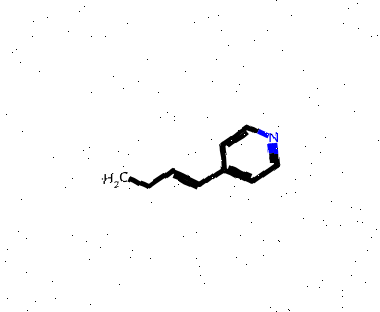 [CH2]CC=Cc1ccncc1